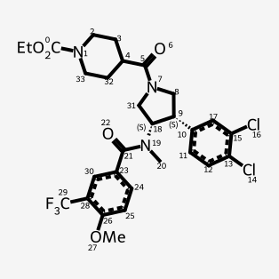 CCOC(=O)N1CCC(C(=O)N2C[C@H](c3ccc(Cl)c(Cl)c3)[C@H](N(C)C(=O)c3ccc(OC)c(C(F)(F)F)c3)C2)CC1